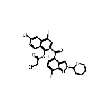 O=C(CCl)Nc1c(C(=O)c2ccc(F)c3nn(C4CCCCO4)cc23)cc(I)c2cc(Cl)ccc12